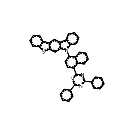 c1ccc(-c2nc(-c3ccccc3)nc(-c3ccc(-n4c5ccccc5c5cc6c(cc54)sc4ccccc46)c4ccccc34)n2)cc1